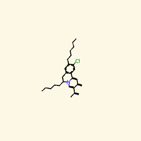 C=C(C)C1=CN2C(=CC1=C)c1cc(Cl)c(CCCCCC)cc1CC2CCCCC